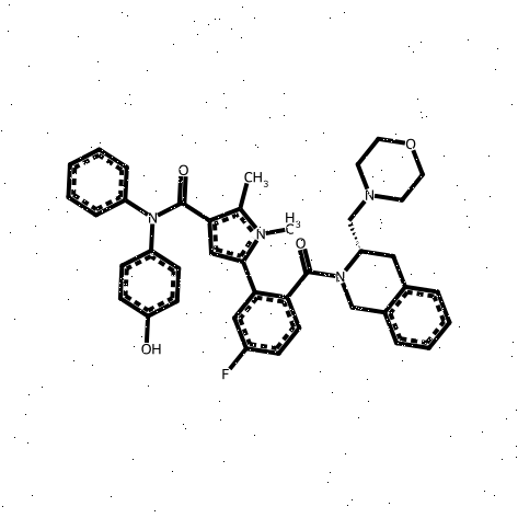 Cc1c(C(=O)N(c2ccccc2)c2ccc(O)cc2)cc(-c2cc(F)ccc2C(=O)N2Cc3ccccc3C[C@H]2CN2CCOCC2)n1C